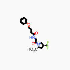 O=C(CCCOc1ccccc1)NCC(=O)N1C[C@H](C(F)F)C[C@H]1C(=O)O